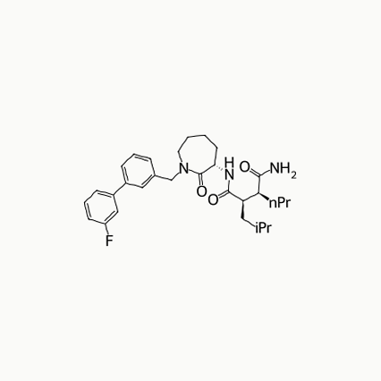 CCC[C@H](C(N)=O)[C@@H](CC(C)C)C(=O)N[C@H]1CCCCN(Cc2cccc(-c3cccc(F)c3)c2)C1=O